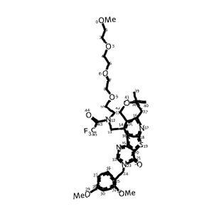 COCCOCCOCCOCCN(Cc1c2c(nc3sc4c(=O)n(Cc5ccc(OC)cc5OC)cnc4c13)CC(C)(C)OC2)C(=O)C(F)(F)F